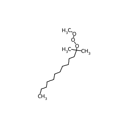 CCCCCCCCCCCC(C)(C)OOOC